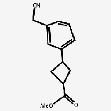 COC(=O)C1CC(c2cccc(CC#N)c2)C1